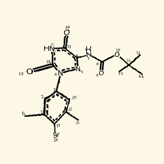 Cc1cc(-n2nc(NC(=O)OC(C)(C)C)c(=O)[nH]c2=O)cc(C)c1Br